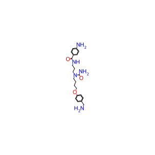 NCc1ccc(OCCCCN(CCCNC(=O)c2ccc(N)cc2)C(N)=O)cc1